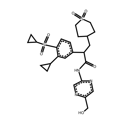 O=C(Nc1cnc(CO)cn1)C(CC1CCS(=O)(=O)CC1)c1ccc(S(=O)(=O)C2CC2)c(C2CC2)c1